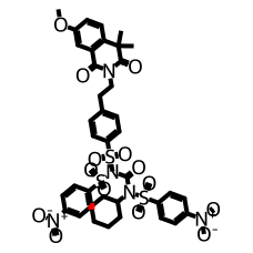 COc1ccc2c(c1)C(=O)N(CCc1ccc(S(=O)(=O)N(C(=O)N(C3CCCCC3)S(=O)(=O)c3ccc([N+](=O)[O-])cc3)S(=O)(=O)c3ccc([N+](=O)[O-])cc3)cc1)C(=O)C2(C)C